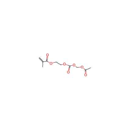 C=C(C)C(=O)OCCOC(=O)OCOC(C)=O